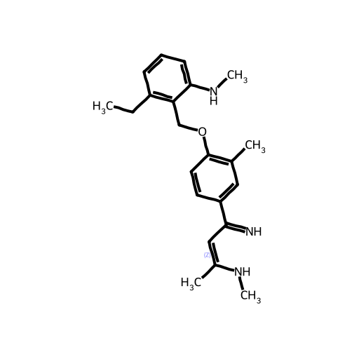 CCc1cccc(NC)c1COc1ccc(C(=N)/C=C(/C)NC)cc1C